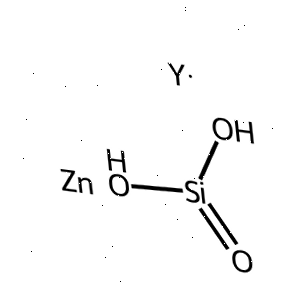 O=[Si](O)O.[Y].[Zn]